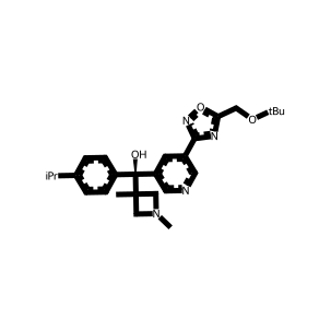 CC(C)c1ccc([C@](O)(c2cncc(-c3noc(COC(C)(C)C)n3)c2)C2(C)CN(C)C2)cc1